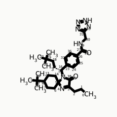 CCCC1=NC2(CCC(C(C)(C)C)CC2)N([C@H](CCC(C)(C)C)c2ccc(C(=O)NCc3nn[nH]n3)cc2)C1=O